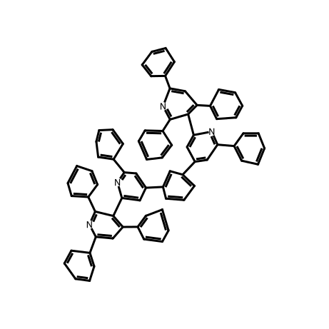 c1ccc(-c2cc(-c3cccc(-c4cc(-c5ccccc5)nc(-c5c(-c6ccccc6)cc(-c6ccccc6)nc5-c5ccccc5)c4)c3)cc(-c3c(-c4ccccc4)cc(-c4ccccc4)nc3-c3ccccc3)n2)cc1